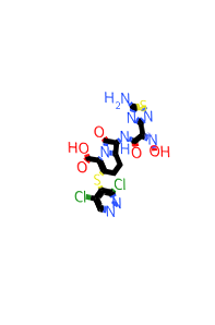 Nc1nc(/C(=N/O)C(=O)NC2C(=O)N3C(C(=O)O)=C(Sc4c(Cl)cnnc4Cl)CCC23)ns1